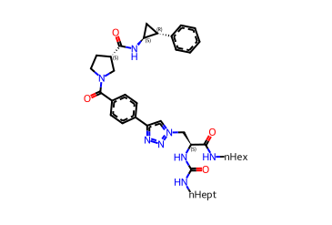 CCCCCCCNC(=O)N[C@@H](Cn1cc(-c2ccc(C(=O)N3CC[C@H](C(=O)N[C@H]4C[C@@H]4c4ccccc4)C3)cc2)nn1)C(=O)NCCCCCC